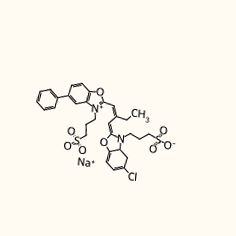 CCC(=Cc1oc2ccc(-c3ccccc3)cc2[n+]1CCCS(=O)(=O)[O-])C=C1OC2=CC=C(Cl)CC2N1CCCS(=O)(=O)[O-].[Na+]